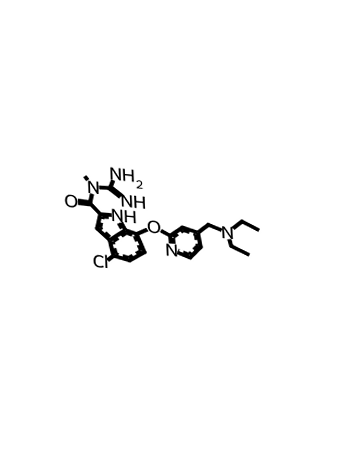 CCN(CC)Cc1ccnc(Oc2ccc(Cl)c3cc(C(=O)N(C)C(=N)N)[nH]c23)c1